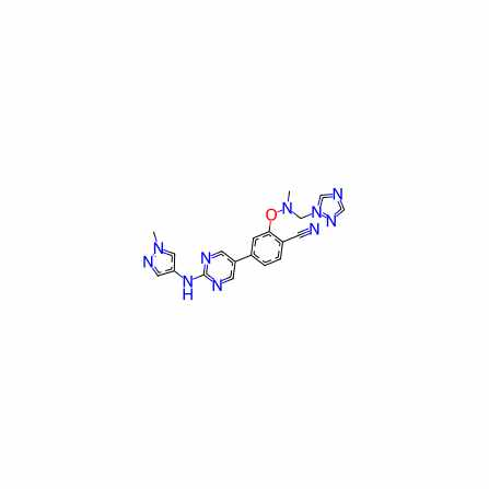 CN(Cn1cncn1)Oc1cc(-c2cnc(Nc3cnn(C)c3)nc2)ccc1C#N